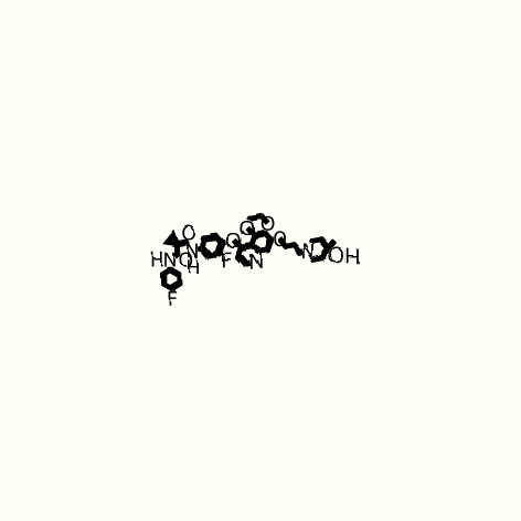 CC1(O)CCN(CCCOc2cc3nccc(Oc4ccc(NC(=O)C5(C(=O)Nc6ccc(F)cc6)CC5)cc4F)c3c3c2OCCO3)CC1